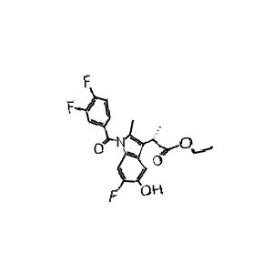 CCOC(=O)[C@@H](C)c1c(C)n(C(=O)c2ccc(F)c(F)c2)c2cc(F)c(O)cc12